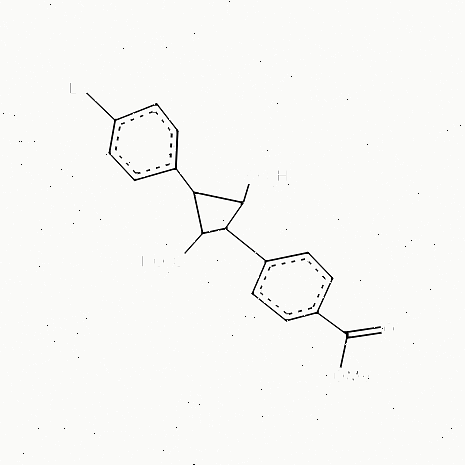 CCc1ccc(C2C(C(=O)O)C(c3ccc(C(=O)OC)cc3)C2C(=O)O)cc1